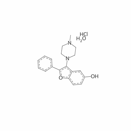 CN1CCN(c2c(-c3ccccc3)oc3ccc(O)cc23)CC1.Cl.O